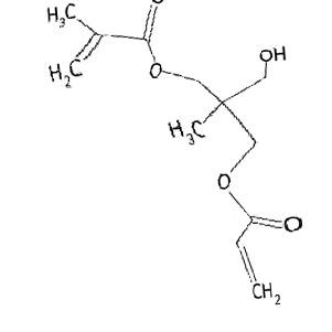 C=CC(=O)OCC(C)(CO)COC(=O)C(=C)C